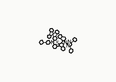 c1ccc(-c2ccc(N(c3ccc4c(c3)C3(c5ccccc5-c5ccccc53)c3ccccc3-4)c3cccc4c3sc3c4c4ccccc4c4c3c3c5ccccc5ccc3n4-c3nc(-c4ccccc4)cc(-c4ccccc4)n3)cc2)cc1